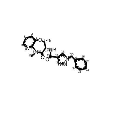 C[C@H]1Oc2cccnc2N(C)C(=O)[C@H]1NC(=O)c1cn(Cc2ccccc2)nn1